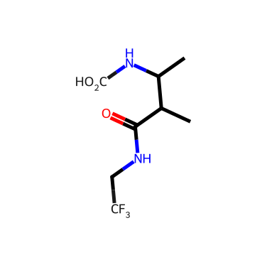 CC(NC(=O)O)C(C)C(=O)NCC(F)(F)F